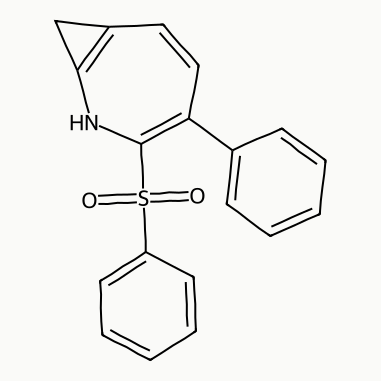 O=S(=O)(C1=C(c2ccccc2)C=CC2=C(C2)N1)c1ccccc1